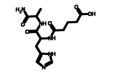 CC(NC(=O)C(Cc1cnc[nH]1)NC(=O)CCCC(=O)O)C(N)=O